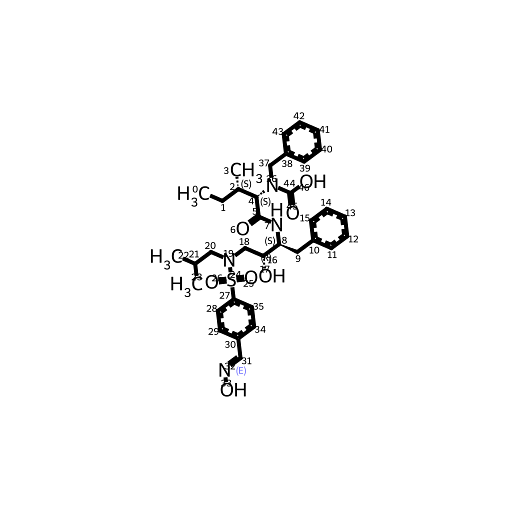 CC[C@H](C)[C@@H](C(=O)N[C@@H](Cc1ccccc1)[C@H](O)CN(CC(C)C)S(=O)(=O)c1ccc(/C=N/O)cc1)N(Cc1ccccc1)C(=O)O